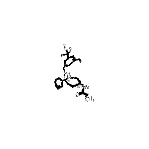 CCC(=O)N[C@H]1CC[C@@](COCc2cc(CF)cc(C(F)(F)F)c2)(c2ccccc2)NC1